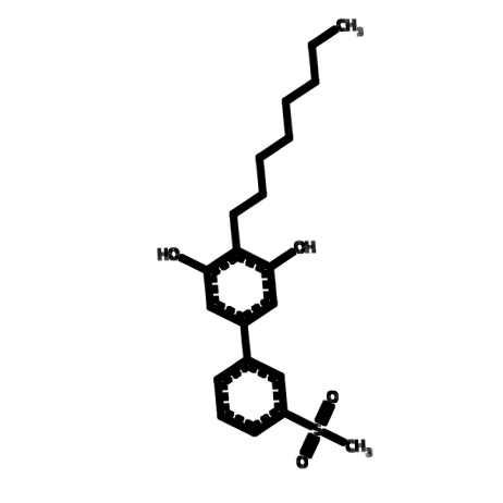 CCCCCCCCc1c(O)cc(-c2cccc(S(C)(=O)=O)c2)cc1O